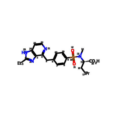 CCc1nc2c(Cc3ccc(S(=O)(=O)N(C)[C@@H](CC(C)C)C(=O)O)cc3)nccc2[nH]1